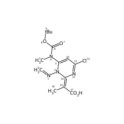 C=NN1C(N(C)C(=O)OC(C)(C)C)=CC(Cl)=N/C1=C(/C)C(=O)O